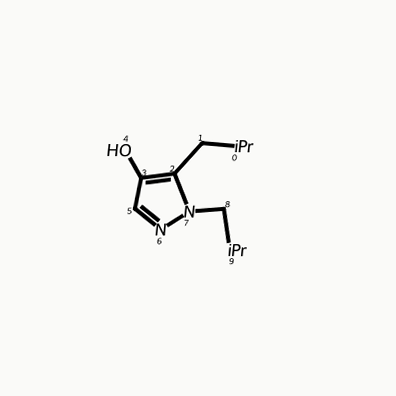 CC(C)Cc1c(O)cnn1CC(C)C